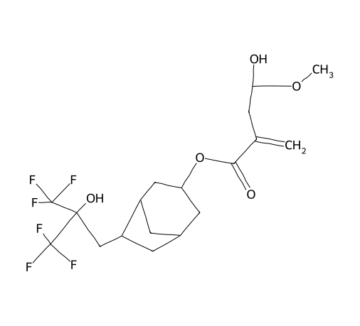 C=C(CC(O)OC)C(=O)OC1CC2CC(C1)C(CC(O)(C(F)(F)F)C(F)(F)F)C2